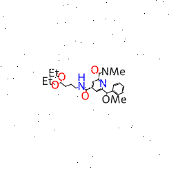 CCOC(CCCNC(=O)c1cc(C(=O)NC)nc(C(OC)c2ccccc2)c1)OCC